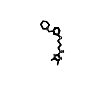 Cc1nc(NCCCOc2cccc(CN3CCCCC3)c2)sc1C